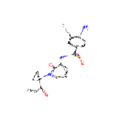 COC(=O)C1(n2cccc(NC(=O)c3ccc(N)c(F)c3)c2=O)CC1